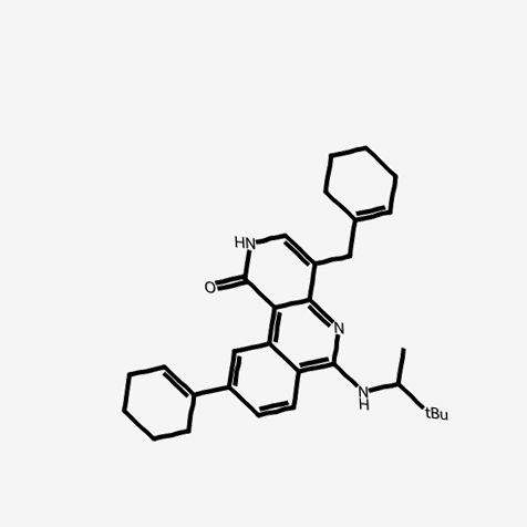 CC(Nc1nc2c(CC3=CCCCC3)c[nH]c(=O)c2c2cc(C3=CCCCC3)ccc12)C(C)(C)C